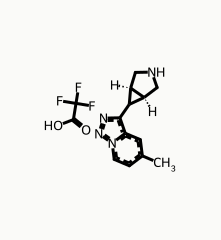 Cc1ccn2nnc(C3[C@H]4CNC[C@@H]34)c2c1.O=C(O)C(F)(F)F